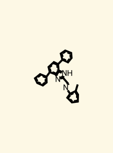 Cc1ccccc1/N=C/c1nc2c(-c3ccccc3)ccc(-c3ccccc3)c2[nH]1